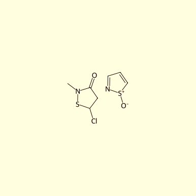 CN1SC(Cl)CC1=O.[O-][s+]1cccn1